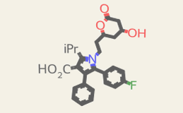 CC(C)c1c(C(=O)O)c(-c2ccccc2)c(-c2ccc(F)cc2)n1CCC1CC(O)CC(=O)O1